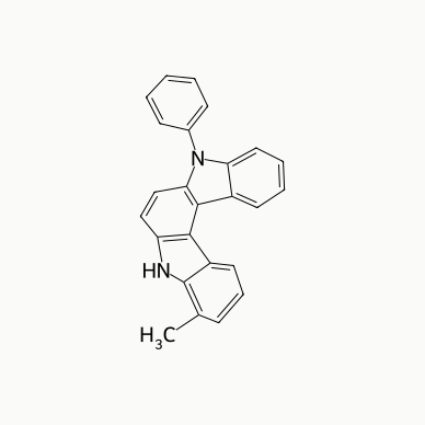 Cc1cccc2c1[nH]c1ccc3c(c4ccccc4n3-c3ccccc3)c12